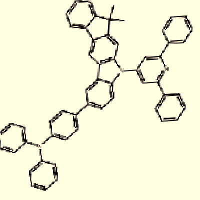 CC1(C)c2ccccc2-c2cc3c4cc(-c5ccc(N(c6ccccc6)c6ccccc6)cc5)ccc4n(-c4cc(-c5ccccc5)nc(-c5ccccc5)c4)c3cc21